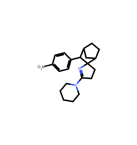 O=[N+]([O-])c1ccc(C2C3CCC(C3)C23CCC(N2CCCCC2)=N3)cc1